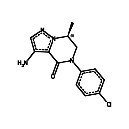 C[C@H]1CN(c2ccc(Cl)cc2)C(=O)c2c(N)cnn21